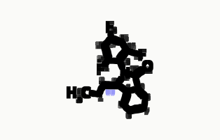 CC/C=C1\c2ccccc2C(=O)N1c1c(F)cc(F)cc1F